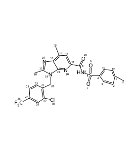 Cc1ccc(S(=O)(=O)NC(=O)c2cc(C)c3nc(C)n(Cc4ccc(C(F)(F)F)cc4Cl)c3n2)cc1